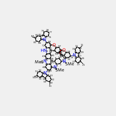 CSN1c2cc3c(cc2B2c4cc(C)ccc4Oc4cc(-n5c6ccc(C)cc6c6cc(C)ccc65)cc1c42)B1c2cc4c(cc2N(SC)c2cc(-n5c6ccc(C)cc6c6cc(C)ccc65)cc(c21)N3SC)Nc1cc(-n2c3ccccc3c3cc(C)ccc32)cc2c1B4c1cc(C)ccc1O2